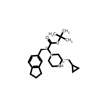 CC(C)(C)OC(=O)[C@H](Cc1ccc2c(c1)CCC2)N1CCN[C@@H](CC2CC2)C1